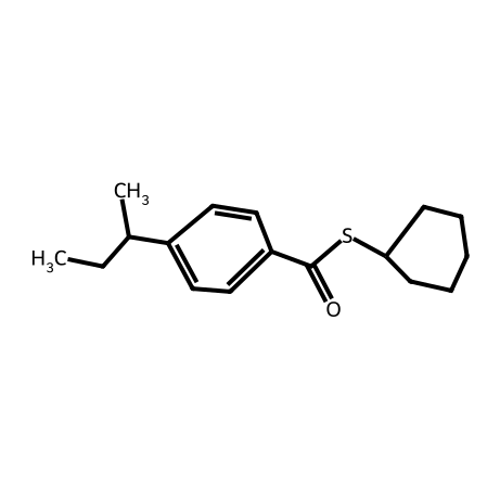 CCC(C)c1ccc(C(=O)SC2CCCCC2)cc1